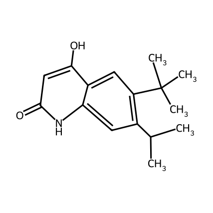 CC(C)c1cc2[nH]c(=O)cc(O)c2cc1C(C)(C)C